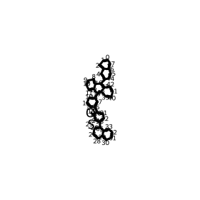 c1ccc2cc(-c3c4ccccc4c(-c4ccc5oc6c(ccc7c6sc6ccc8ccccc8c67)c5c4)c4ccccc34)ccc2c1